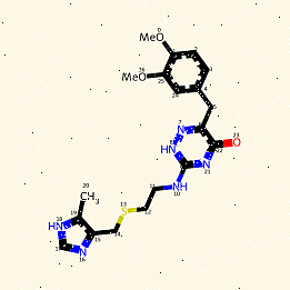 COc1ccc(Cc2n[nH]c(NCCSCc3nc[nH]c3C)nc2=O)cc1OC